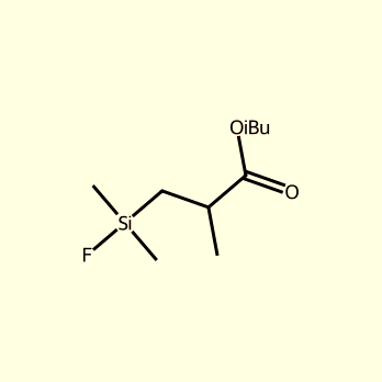 CC(C)COC(=O)C(C)C[Si](C)(C)F